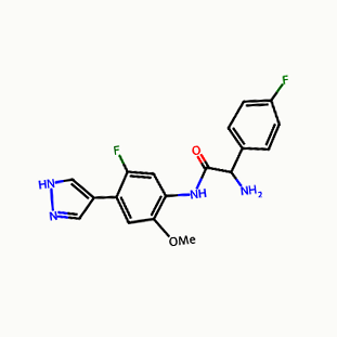 COc1cc(-c2cn[nH]c2)c(F)cc1NC(=O)C(N)c1ccc(F)cc1